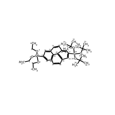 CCO[Si](OCC)(OCC)c1cc2ccc3cc([Si](OC(C)(C)C)(OC(C)(C)C)OC(C)(C)C)cc4ccc(c1)c2c34